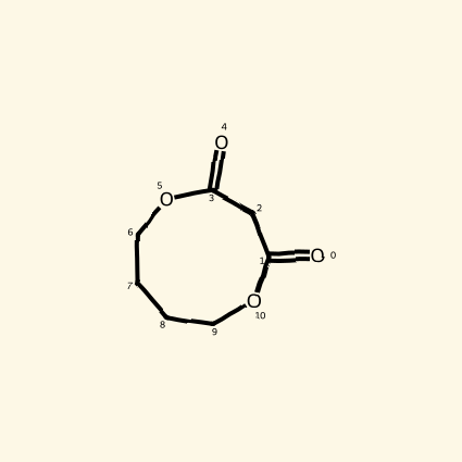 O=C1CC(=O)OCCCCO1